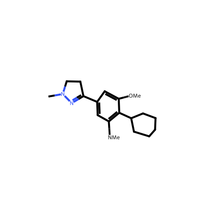 CNc1cc(C2=NN(C)CC2)cc(OC)c1C1CCCCC1